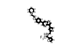 FC(F)(F)C(NCc1cc(-c2cnn3cc(-c4ccc(OCCN5CCCCC5)cc4)cnc23)cs1)c1ccco1